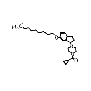 CCCCCCCCCOc1ccc2c(c1)C(N1CCN(C(=O)C3CC3)CC1)CC2